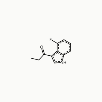 CCC(=O)c1c[nH]c2cccc(F)c12